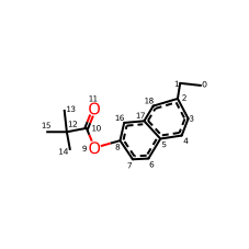 CCc1ccc2ccc(OC(=O)C(C)(C)C)cc2c1